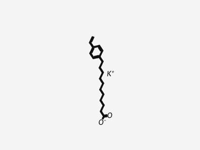 C=Cc1ccc(CCCCCCCCCCC(=O)[O-])cc1.[K+]